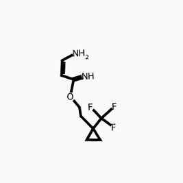 N=C(/C=C\N)OCCC1(C(F)(F)F)CC1